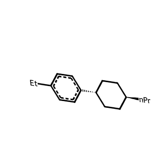 CCC[C@H]1CC[C@H](c2ccc(CC)cc2)CC1